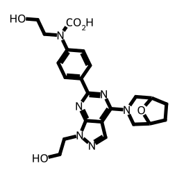 O=C(O)N(CCO)c1ccc(-c2nc(N3CC4CCC(C3)O4)c3cnn(CCO)c3n2)cc1